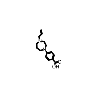 C=CCN1CCCN(c2ccc(C(=O)O)cc2)CC1